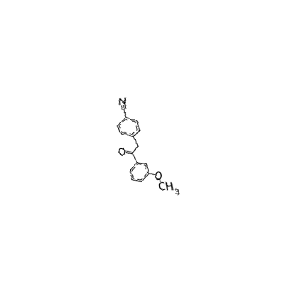 COc1cccc(C(=O)Cc2ccc(C#N)cc2)c1